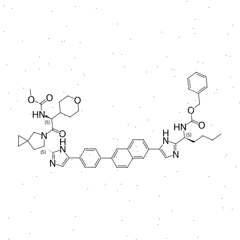 CCCC[C@H](NC(=O)OCc1ccccc1)c1ncc(-c2ccc3cc(-c4ccc(-c5cnc([C@@H]6CC7(CC7)CN6C(=O)[C@@H](NC(=O)OC)C6CCOCC6)[nH]5)cc4)ccc3c2)[nH]1